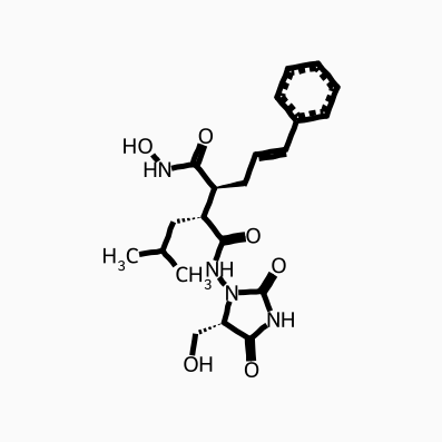 CC(C)C[C@@H](C(=O)NN1C(=O)NC(=O)[C@@H]1CO)[C@H](C/C=C/c1ccccc1)C(=O)NO